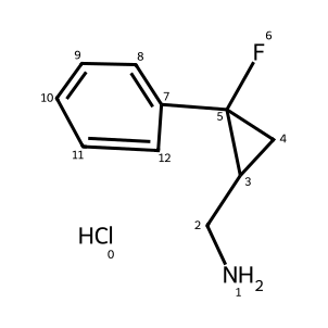 Cl.NCC1CC1(F)c1ccccc1